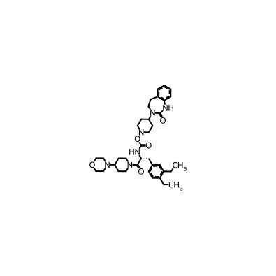 CCc1ccc(C[C@@H](NC(=O)ON2CCC(N3CCc4ccccc4NC3=O)CC2)C(=O)N2CCC(N3CCOCC3)CC2)cc1CC